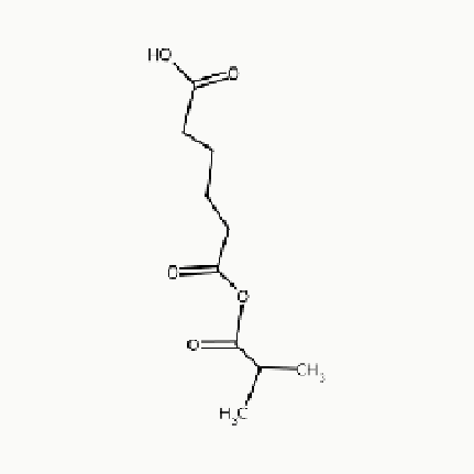 CC(C)C(=O)OC(=O)CCCCC(=O)O